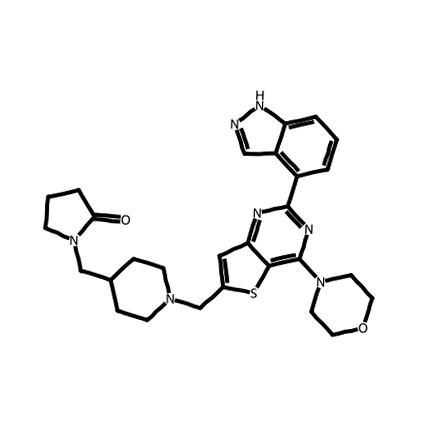 O=C1CCCN1CC1CCN(Cc2cc3nc(-c4cccc5[nH]ncc45)nc(N4CCOCC4)c3s2)CC1